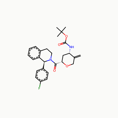 C=C1CO[C@H](C(=O)N2CCc3ccccc3[C@@H]2c2ccc(F)cc2)C[C@@H]1NC(=O)OC(C)(C)C